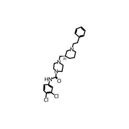 O=C(Nc1ccc(Cl)c(Cl)c1)N1CCN(C[C@@H]2CCCN(CCc3ccccc3)C2)CC1